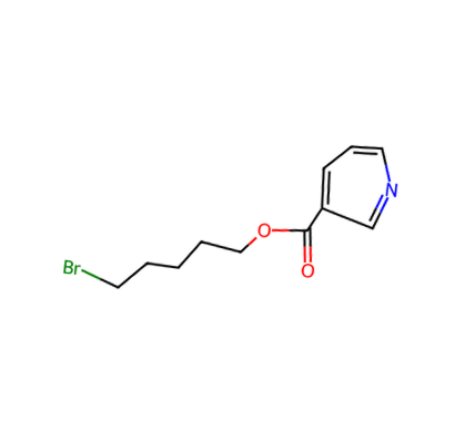 O=C(OCCCCCBr)c1cccnc1